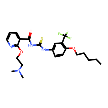 CCCCCOc1ccc(NC(=S)NC(=O)c2cccnc2OCCN(C)C)cc1C(F)(F)F